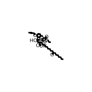 CC#CCOc1ccc(C[C@H](NC(=O)[C@@H](/C=C/CCCCCCC(=O)CCCCCCC)[C@@](O)(CC(=O)O)C(=O)O)C(=O)OCCC)cc1